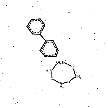 O1[SiH2]O[SiH2]O[SiH2]O[SiH2]1.c1ccc(-c2ccccc2)cc1